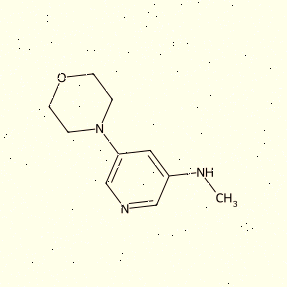 CNc1cncc(N2CCOCC2)c1